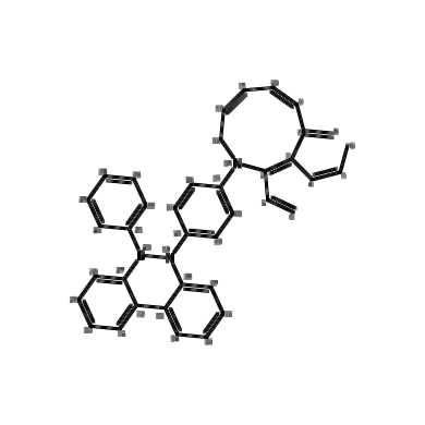 C=C/C1=C(\C=C/C)C(=C)/C=C\C=C/CN1c1ccc(N2B(c3ccccc3)c3ccccc3-c3ccccc32)cc1